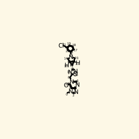 Cn1cnc2ncn(Cc3nc([C@@H]4[C@@H]5CN(c6cccc(Cl)c6)C[C@@H]54)no3)c(=O)c21